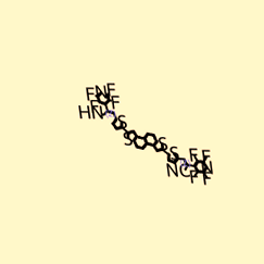 N#C/C(=C\c1ccc(-c2cc3c(ccc4c5cc(-c6ccc(/C=C(\C=N)c7c(F)c(F)nc(F)c7F)s6)sc5ccc34)s2)s1)c1c(F)c(F)nc(F)c1F